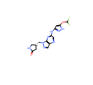 O=C1C[C@@H](Cn2ncc3ncc(Nc4cc(OC(F)F)[nH]n4)nc32)CN1